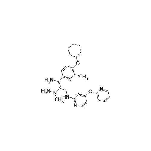 Cc1nc(/C(N)=C(\CNc2nccc(Oc3ccccn3)n2)N(C)N)ccc1OC1CCCCC1